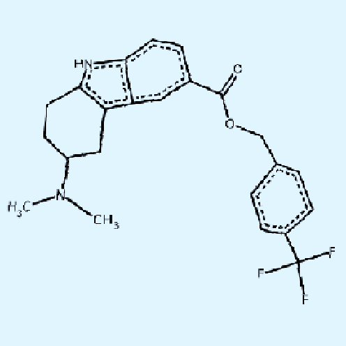 CN(C)C1CCc2[nH]c3ccc(C(=O)OCc4ccc(C(F)(F)F)cc4)cc3c2C1